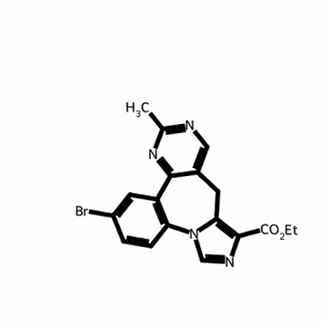 CCOC(=O)c1ncn2c1Cc1cnc(C)nc1-c1cc(Br)ccc1-2